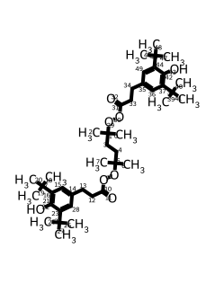 CC(C)(CCC(C)(C)OOC(=O)CCc1cc(C(C)(C)C)c(O)c(C(C)(C)C)c1)OOC(=O)CCc1cc(C(C)(C)C)c(O)c(C(C)(C)C)c1